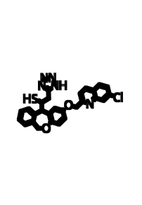 SC(Cc1nnn[nH]1)C1c2ccccc2COc2ccc(OCc3ccc4ccc(Cl)cc4n3)cc21